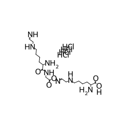 Cl.Cl.Cl.Cl.N=CCNCCCCC(N)C(=O)NCC(=O)ON=CCNCCCCC(N)C(=O)O